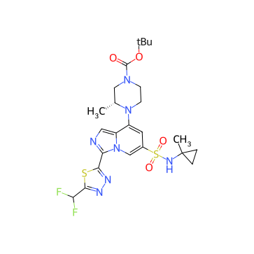 C[C@@H]1CN(C(=O)OC(C)(C)C)CCN1c1cc(S(=O)(=O)NC2(C)CC2)cn2c(-c3nnc(C(F)F)s3)ncc12